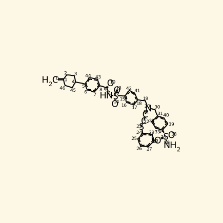 C=C1CCC(c2ccc(C(=O)NS(=O)(=O)c3ccc(CN(CCSc4ccccc4)Cc4ccc(S(N)(=O)=O)cc4)cc3)cc2)CC1